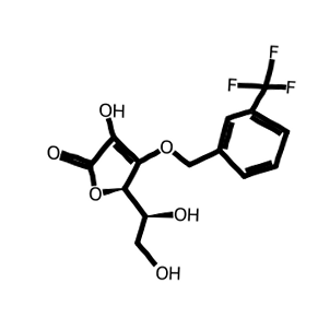 O=C1O[C@H]([C@@H](O)CO)C(OCc2cccc(C(F)(F)F)c2)=C1O